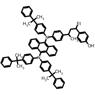 CCC(CC(C)c1ccc(N(c2ccc(C(C)(C)c3ccccc3)cc2)c2c3ccccc3c(N(c3ccc(C(C)(C)c4ccccc4)cc3)c3ccc(C(C)(C)c4ccccc4)cc3)c3ccccc23)cc1)c1ccc(O)cc1